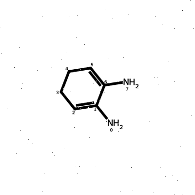 NC1=CCCC=C1N